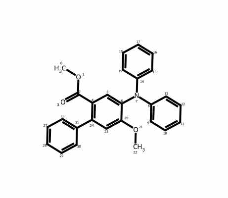 COC(=O)c1cc(N(c2ccccc2)c2ccccc2)c(OC)cc1-c1ccccc1